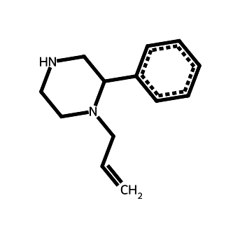 C=CCN1CCNC[C]1c1ccccc1